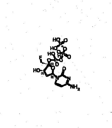 Nc1ccn([C@H]2C[C@H](O)[C@@](CF)(OP(=O)(O)OP(=O)(O)OP(=O)(O)O)O2)c(=O)n1